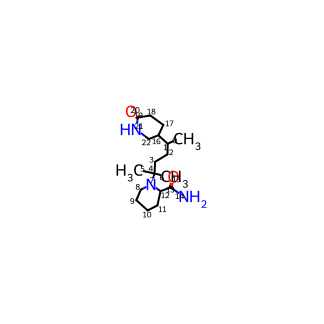 CC(CCC(C)(C)N1CCCCC1C(N)=O)C1CCC(=O)NC1